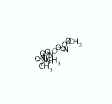 CCCn1c(C)c(C(=O)N[C@H]2CC[C@@H](Oc3ccnc4cc(OC)ccc34)CC2)c(=O)n1-c1ccccc1